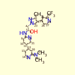 Cc1nn(CC(O)Nc2ccc(-c3ccnc(N(C)C)c3)cn2)cc1-c1ccnc(C(F)(F)F)c1